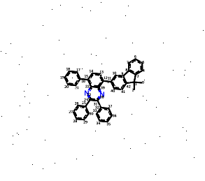 CC1(C)c2ccccc2-c2cc(-c3ccc(-c4ccccc4)c4nc(-c5ccccc5)c(-c5ccccc5)nc34)ccc21